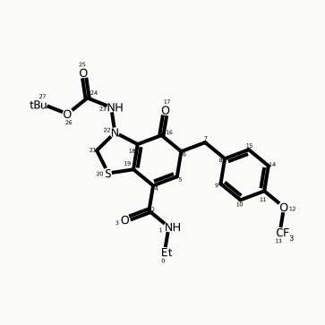 CCNC(=O)C1=CC(Cc2ccc(OC(F)(F)F)cc2)C(=O)C2=C1SCN2NC(=O)OC(C)(C)C